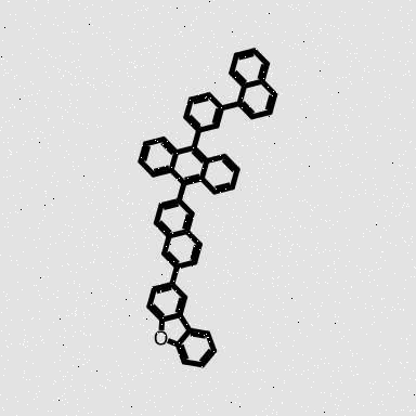 c1cc(-c2cccc3ccccc23)cc(-c2c3ccccc3c(-c3ccc4cc(-c5ccc6oc7ccccc7c6c5)ccc4c3)c3ccccc23)c1